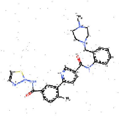 Cc1ccc(C(=O)NN2NC=CS2)cc1-c1ccc(C(=O)Nc2ccccc2CN2CCN(C)CC2)cn1